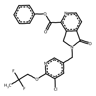 CC(F)(F)COc1ncc(CN2Cc3c(ccnc3C(=O)Oc3ccccc3)C2=O)cc1Cl